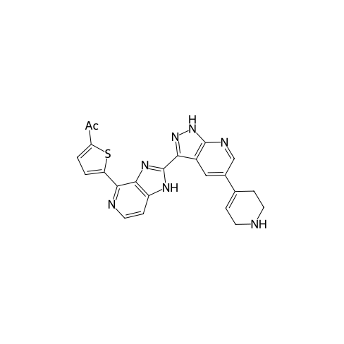 CC(=O)c1ccc(-c2nccc3[nH]c(-c4n[nH]c5ncc(C6=CCNCC6)cc45)nc23)s1